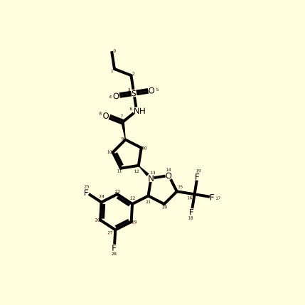 CCCS(=O)(=O)NC(=O)[C@@H]1C=C[C@H](N2OC(C(F)(F)F)CC2c2cc(F)cc(F)c2)C1